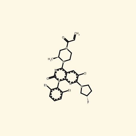 C=CC(=O)N1CCN(c2nc(=O)n(-c3c(CC)cccc3CC)c3nc(N4CC[C@H](F)C4)c(Cl)cc23)[C@@H](C)C1